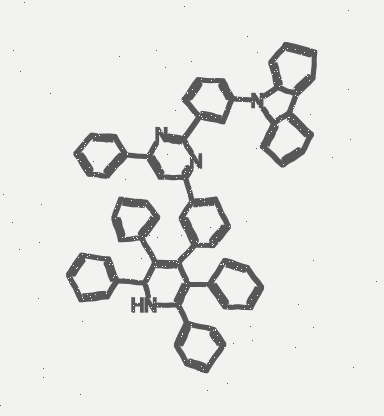 c1ccc(C2=C(c3ccccc3)C(c3cccc(-c4cc(-c5ccccc5)nc(-c5cccc(-n6c7ccccc7c7ccccc76)c5)n4)c3)=C(c3ccccc3)C(c3ccccc3)N2)cc1